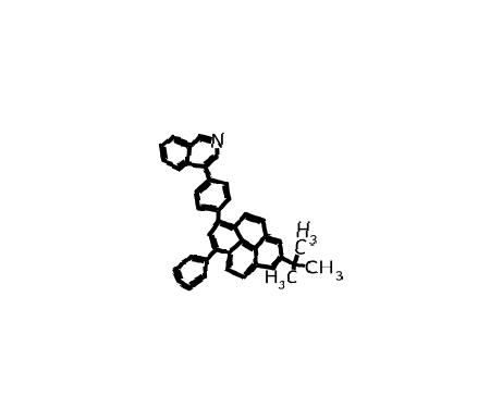 CC(C)(C)c1cc2ccc3c(-c4ccccc4)cc(-c4ccc(-c5cncc6ccccc56)cc4)c4ccc(c1)c2c34